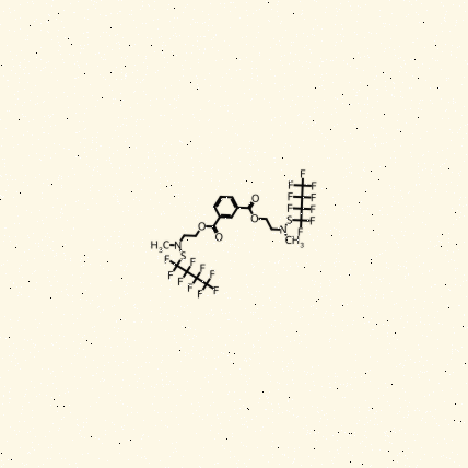 CN(CCOC(=O)c1cccc(C(=O)OCCN(C)SC(F)(F)C(F)(F)C(F)(F)C(F)(F)F)c1)SC(F)(F)C(F)(F)C(F)(F)C(F)(F)F